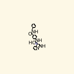 N=C/C(=C(/O)Nc1ccc(C(=O)NCc2ccccc2)cc1)c1ccccn1